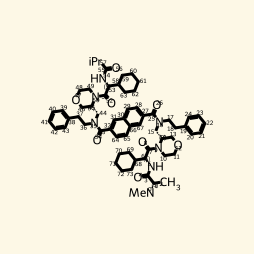 CN[C@@H](C)C(=O)N[C@H](C(=O)N1CCOC[C@H]1CN(CCc1ccccc1)C(=O)c1ccc2cc(C(=O)N(CCc3ccccc3)C[C@@H]3COCCN3C(=O)[C@@H](NC(=O)C(C)C)C3CCCCC3)ccc2c1)C1CCCCC1